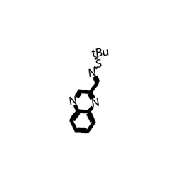 CC(C)(C)S/N=C/c1cnc2ccccc2n1